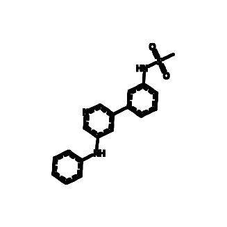 CS(=O)(=O)Nc1cccc(-c2cncc(Nc3ccccc3)c2)c1